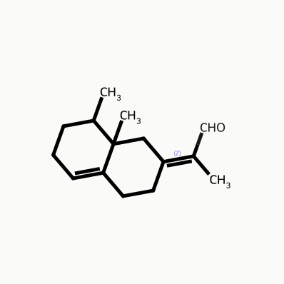 C/C(C=O)=C1\CCC2=CCCC(C)C2(C)C1